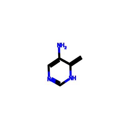 C=C1NC=NC=C1N